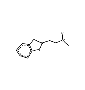 C[S+]([O-])CCN1Cc2ccccc2S1